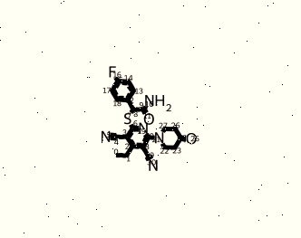 CCc1c(C#N)c(SC(C(N)=O)c2ccc(F)cc2)nc(N2CCC(=O)CC2)c1C#N